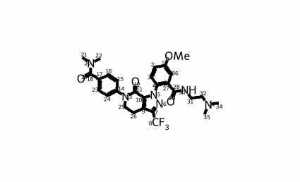 COc1ccc(-n2nc(C(F)(F)F)c3c2C(=O)N(c2ccc(C(=O)N(C)C)cc2)CC3)c(C(=O)NCCN(C)C)c1